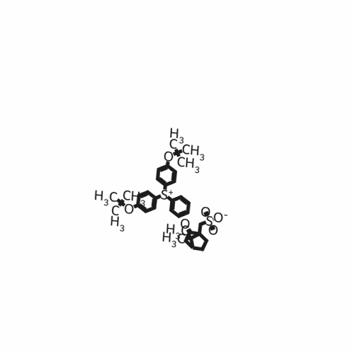 CC(C)(C)Oc1ccc([S+](c2ccccc2)c2ccc(OC(C)(C)C)cc2)cc1.CC1(C)C2CCC1(CS(=O)(=O)[O-])C(=O)C2